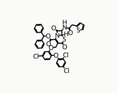 O=C(Cc1cccs1)NC1C(=O)N2C(C(=O)OC(c3ccccc3)c3ccccc3)=C(COc3cc(Cl)ccc3Oc3ccc(Cl)cc3Cl)C(=O)S[C@@H]12